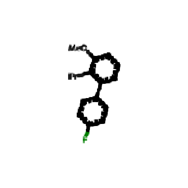 COc1cc[c]c(-c2ccc(F)cc2)c1C(C)C